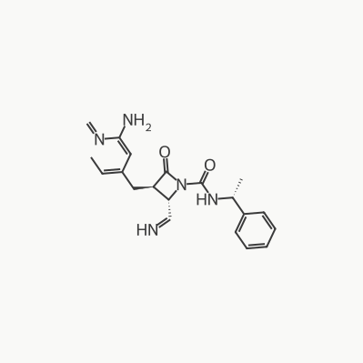 C=N/C(N)=C\C(=C/C)C[C@H]1C(=O)N(C(=O)N[C@H](C)c2ccccc2)[C@@H]1C=N